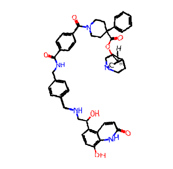 O=C(NCc1ccc(CNCC(O)c2ccc(O)c3[nH]c(=O)ccc23)cc1)c1ccc(C(=O)N2CCC(C(=O)O[C@H]3CN4CCC3CC4)(c3ccccc3)CC2)cc1